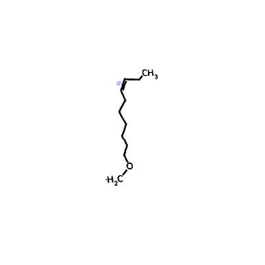 [CH2]OCCCCCC/C=C\CC